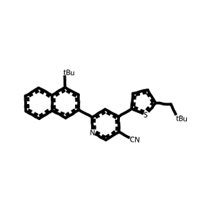 CC(C)(C)Cc1ccc(-c2cc(-c3cc(C(C)(C)C)c4ccccc4c3)ncc2C#N)s1